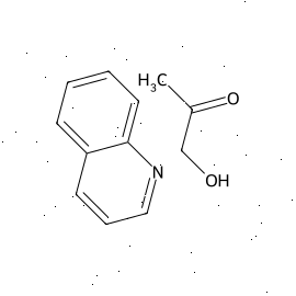 CC(=O)CO.c1ccc2ncccc2c1